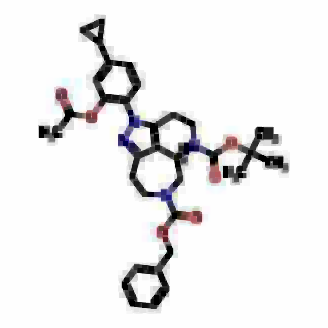 CC(=O)Oc1cc(C2CC2)ccc1-n1nc2c3c1CCN(C(=O)OC(C)(C)C)[C@H]3CN(C(=O)OCc1ccccc1)CC2